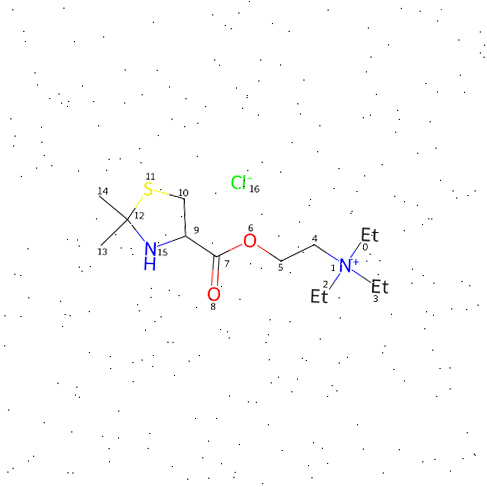 CC[N+](CC)(CC)CCOC(=O)C1CSC(C)(C)N1.[Cl-]